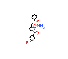 Cc1cc(Br)ccc1C(=O)c1ccc(CC(c2ccccc2)S(N)(=O)=O)n1C